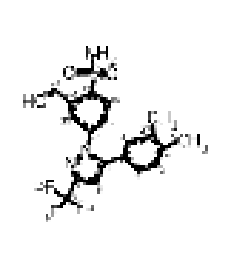 Cc1ccc(-c2cc(C(F)(F)F)nn2-c2ccc(S(N)(=O)=O)c(CO)c2)cc1C